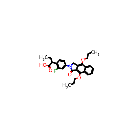 CCCOc1c2c(c(OCCC)c3ccccc13)C(=O)N(c1ccc(C(CC)C(=O)O)c(F)c1)C2